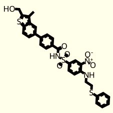 Cc1c(CO)sc2ccc(-c3ccc(C(=O)NS(=O)(=O)c4ccc(NCCSc5ccccc5)c([N+](=O)[O-])c4)cc3)cc12